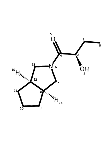 CC[C@@H](O)C(=O)N1C[C@H]2CCC[C@H]2C1